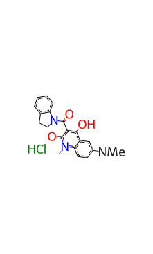 CNc1ccc2c(c1)c(O)c(C(=O)N1CCc3ccccc31)c(=O)n2C.Cl